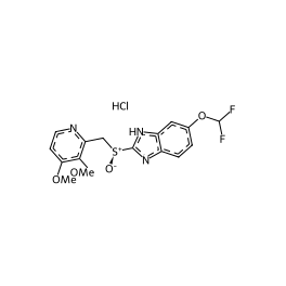 COc1ccnc(C[S@+]([O-])c2nc3ccc(OC(F)F)cc3[nH]2)c1OC.Cl